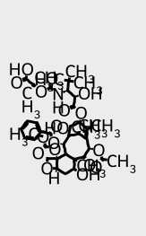 COC(=O)O[C@@]12CO[C@@H]1CC(O)[C@@]1(C)C(=O)[C@H](OC(C)=O)C3=C(C)[C@@H](OC(=O)[C@H](O)[C@@H](NC(=O)OC(C)(C)C(=O)O)C(C)(C)C)C[C@@](O)([C@@H](OC(=O)c4ccccc4)C12)C3(C)C